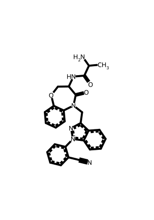 CC(N)C(=O)NC1COc2ccccc2N(Cc2nn(-c3ccccc3C#N)c3ccccc23)C1=O